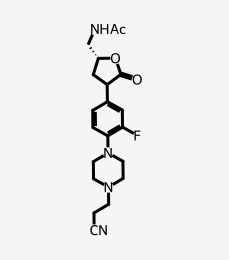 CC(=O)NC[C@H]1CC(c2ccc(N3CCN(CCC#N)CC3)c(F)c2)C(=O)O1